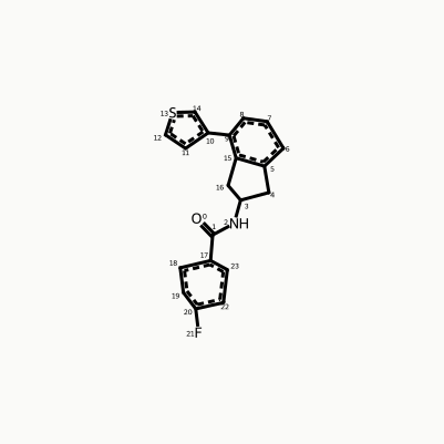 O=C(NC1Cc2cccc(-c3ccsc3)c2C1)c1ccc(F)cc1